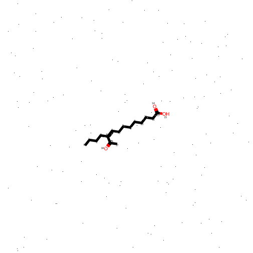 CCCCC(=CCCCCCCCC(=O)O)C(C)=O